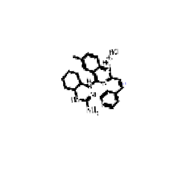 Cc1ccc2nc(/C=C\c3ccncc3)nc(NC3CCCCC3NC(=N)N)c2c1.Cl.Cl.Cl